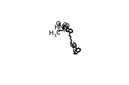 CCCC(C(=O)NC=O)N1Cc2c(CCCCCN3CCN(c4cccc5ccsc45)CC3)cccc2C1=O